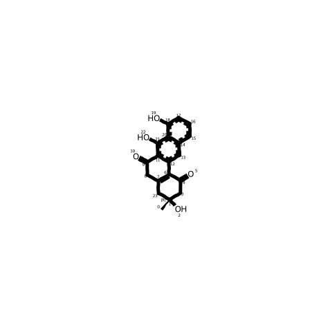 C[C@]1(O)CC(=O)C2=C(CC(=O)c3c2cc2cccc(O)c2c3O)C1